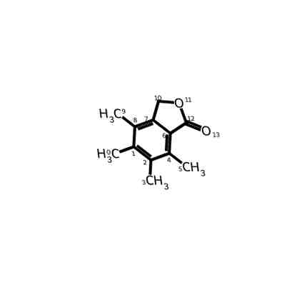 Cc1c(C)c(C)c2c(c1C)COC2=O